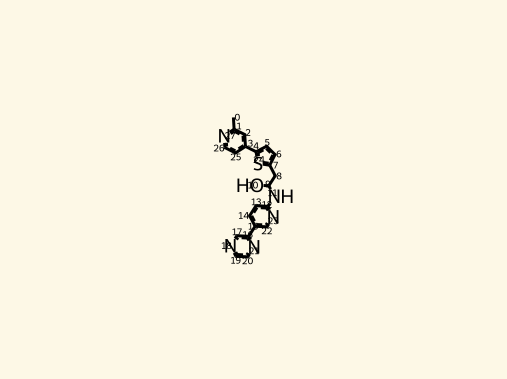 Cc1cc(-c2ccc(CC(O)Nc3ccc(-c4cnccn4)cn3)s2)ccn1